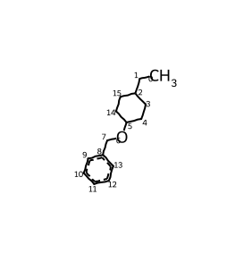 CCC1CCC(OCc2ccccc2)CC1